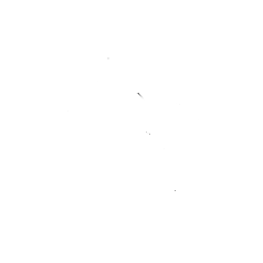 COC(=O)[C@H](Cc1ccc(C)cc1O)NC(=O)OC(C)(C)C